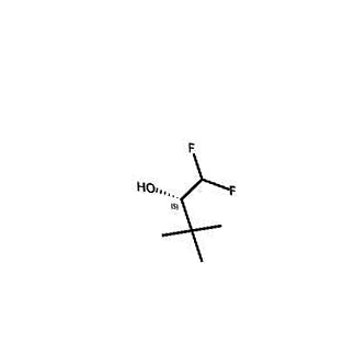 CC(C)(C)[C@H](O)C(F)F